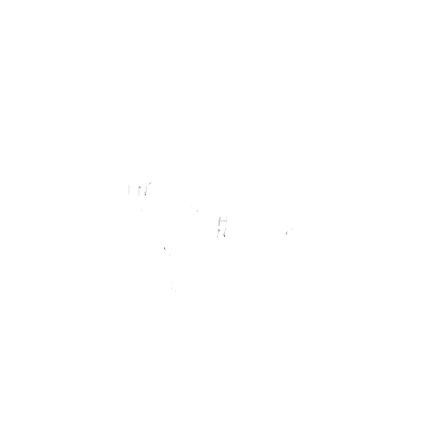 CC#CCNc1cc(Cl)nc2c(Cl)c([C@H]3CC=CC[C@@H]3N)sc12